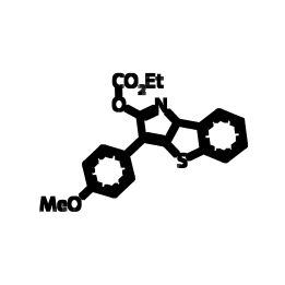 CCOC(=O)OC1=NC2C(=C1c1ccc(OC)cc1)Sc1ccccc12